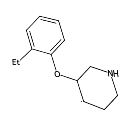 CCc1ccccc1OC1[CH]CCNC1